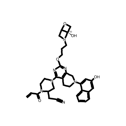 C=CC(=O)N1CCN(c2nc(OCCCN3CC4OC[C@]43O)nc3c2CCN(c2cc(O)cc4ccccc24)C3)CC1CC#N